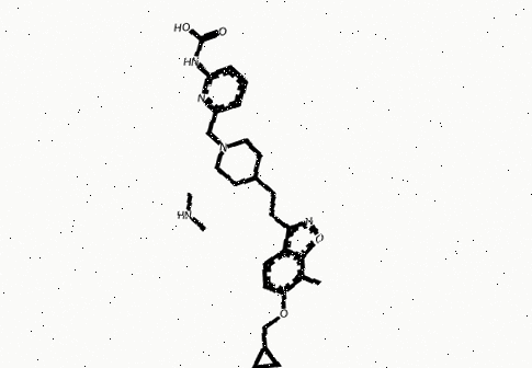 CNC.Cc1c(OCC2CC2)ccc2c(CCC3CCN(Cc4cccc(NC(=O)O)n4)CC3)noc12